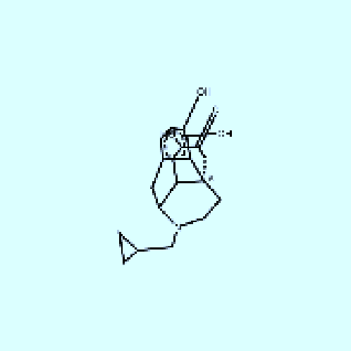 O=C1C[C@@]23CCN(CC4CC4)C(Cc4ccc(O)c(O)c42)C3CC1O